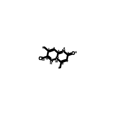 Cc1cc2nc(=O)cc(C)n2nc1Cl